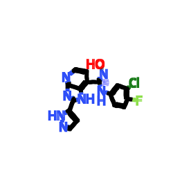 O/N=C(/Nc1ccc(F)c(Cl)c1)c1ccnc2nc(-c3ccn[nH]3)[nH]c12